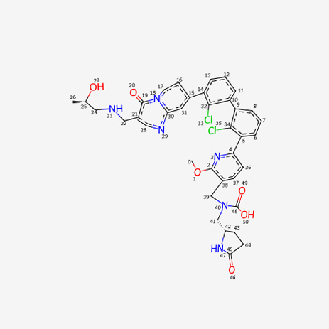 COc1nc(-c2cccc(-c3cccc(-c4ccn5c(=O)c(CNC[C@@H](C)O)cnc5c4)c3Cl)c2Cl)ccc1CN(C[C@@H]1CCC(=O)N1)C(=O)O